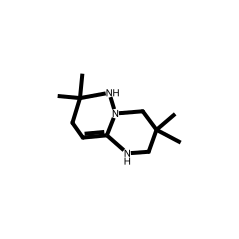 CC1(C)CNC2=CCC(C)(C)NN2C1